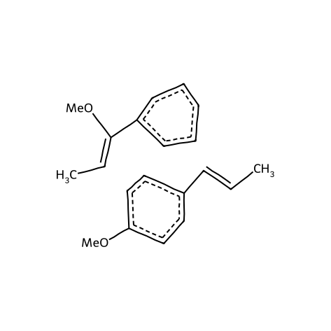 CC=C(OC)c1ccccc1.CC=Cc1ccc(OC)cc1